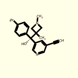 C#Cc1cncc([C@@](O)(c2ccc(C(C)C)cc2)C2(C)CN(C)C2)c1